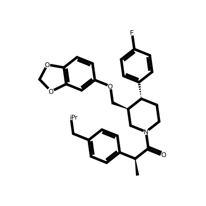 CC(C)Cc1ccc([C@H](C)C(=O)N2CC[C@@H](c3ccc(F)cc3)[C@H](COc3ccc4c(c3)OCO4)C2)cc1